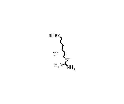 CCCCCCCCCCCC[S+]=C(N)N.[Cl-]